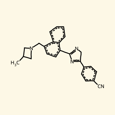 CC1CN(Cc2ccc(C3=NCC(c4ccc(C#N)cc4)=N3)c3ccccc23)C1